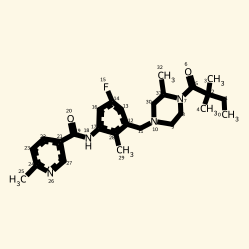 CCC(C)(C)C(=O)N1CCN(Cc2cc(F)cc(NC(=O)c3ccc(C)nc3)c2C)CC1C